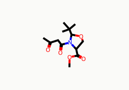 COC(=O)C1COC(C(C)(C)C)N1C(=O)CC(C)=O